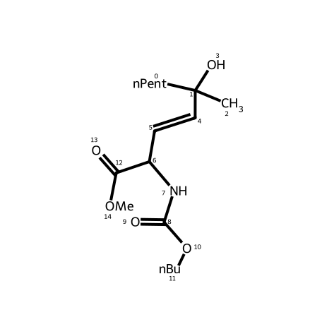 CCCCCC(C)(O)/C=C/C(NC(=O)OCCCC)C(=O)OC